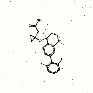 C[C@H]1CC[C@](C)(OC2(CC(N)=O)CC2)c2nnc(-c3c(F)cccc3F)cc21